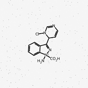 N[N+]1(C(=O)O)N=C(C2C=CN=CN2Cl)c2ccccc21